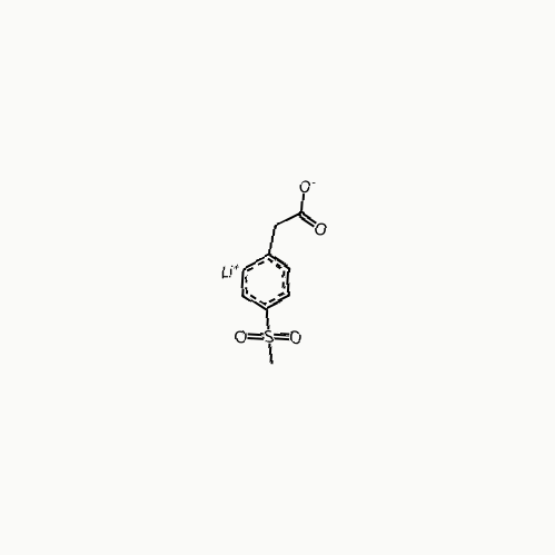 CS(=O)(=O)c1ccc(CC(=O)[O-])cc1.[Li+]